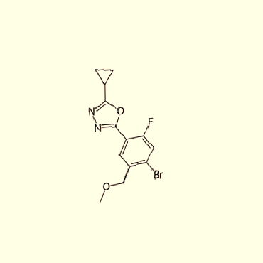 COCc1cc(-c2nnc(C3CC3)o2)c(F)cc1Br